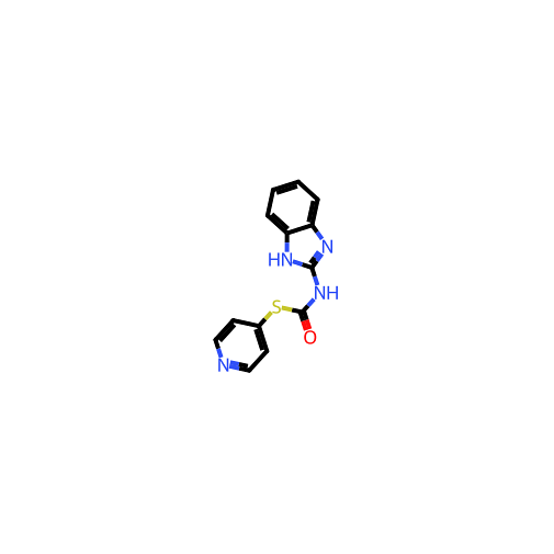 O=C(Nc1nc2ccccc2[nH]1)Sc1ccncc1